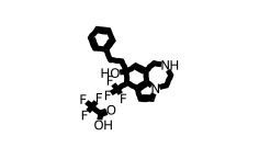 O=C(O)C(F)(F)F.OC1(CCc2ccccc2)C=C2CNCCn3ccc(c32)C1C(F)(F)F